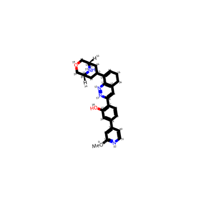 COc1cc(-c2ccc(-c3cc4c(nn3)C(C3C[C@H]5COC[C@@H](C3)N5)=CCC4)c(O)c2)ccn1